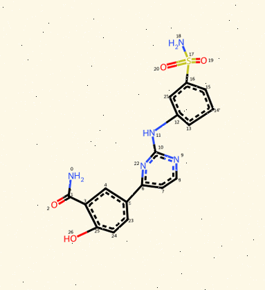 NC(=O)c1cc(-c2ccnc(Nc3cccc(S(N)(=O)=O)c3)n2)ccc1O